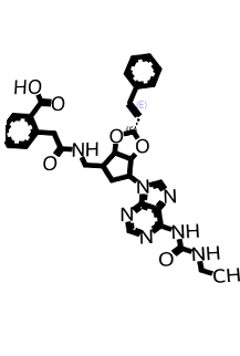 CCNC(=O)Nc1ncnc2c1ncn2C1CC(CNC(=O)Cc2ccccc2C(=O)O)C2O[C@H](/C=C/c3ccccc3)OC21